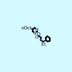 CCCCCCCCc1cnc(OC(=O)/C=C/C(CC)c2ccccc2)nc1